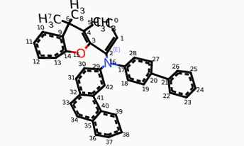 C/C=C(\C1=C(C)C(C)(C)c2ccccc2O1)N(c1ccc(-c2ccccc2)cc1)c1ccc2ccc3ccccc3c2c1